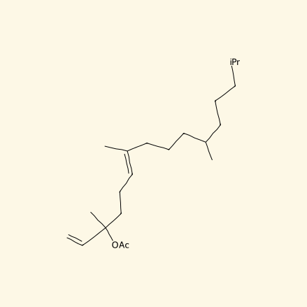 C=CC(C)(CCC=C(C)CCCC(C)CCCC(C)C)OC(C)=O